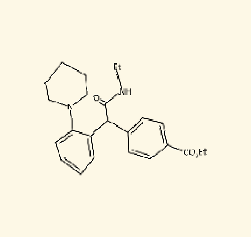 CCNC(=O)C(c1ccc(C(=O)OCC)cc1)c1ccccc1N1CCCCC1